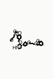 COCCCN1C(=O)COc2ccc(CO[C@H]3CNCC[C@@H]3c3ccc(OCCCOCc4ccccc4OC)cc3)cc21